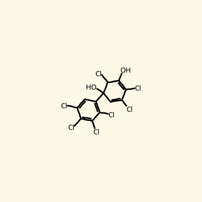 OC1=C(Cl)C(Cl)=CC(O)(c2cc(Cl)c(Cl)c(Cl)c2Cl)C1Cl